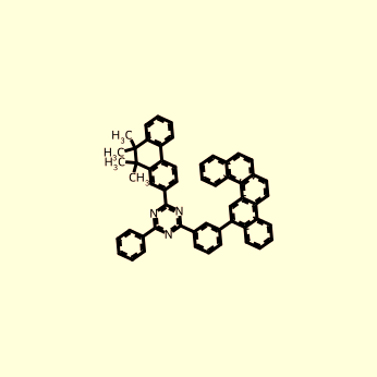 CC1(C)c2ccccc2-c2ccc(-c3nc(-c4ccccc4)nc(-c4cccc(-c5cc6c(ccc7ccc8ccccc8c76)c6ccccc56)c4)n3)cc2C1(C)C